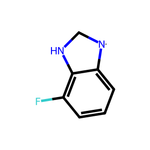 Fc1cccc2c1NC[N]2